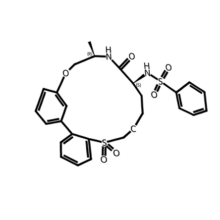 C[C@@H]1COc2cccc(c2)-c2ccccc2S(=O)(=O)CCCC[C@H](NS(=O)(=O)c2ccccc2)C(=O)N1